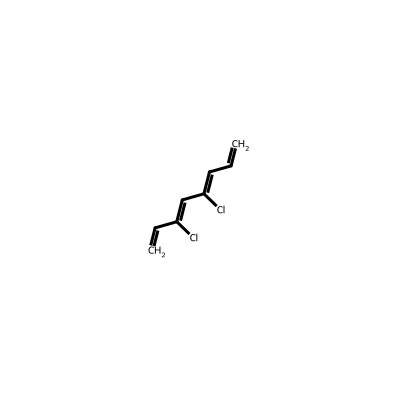 C=CC=C(Cl)C=C(Cl)C=C